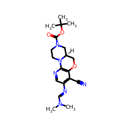 CN(C)/C=N/c1cnc2c(c1C#N)OC[C@@H]1CN(C(=O)OC(C)(C)C)CCN21